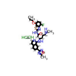 CCCOc1ccc(F)c2nc(NC(=O)C[C@H](CCCNC)Nc3nccc4ccc(-c5noc(C)n5)cc34)sc12.Cl.Cl